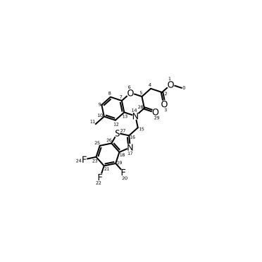 COC(=O)CC1Oc2ccc(C)cc2N(Cc2nc3c(F)c(F)c(F)cc3s2)C1=O